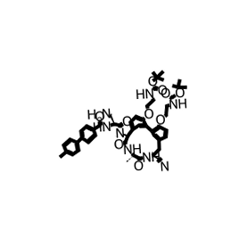 Cc1ccc(-c2ccc(C(=O)N[C@@H](CN)C(=O)N(C)[C@@H]3C(=O)N[C@@H](C)C(=O)N[C@H](C#N)Cc4ccc(OCCNC(=O)OC(C)(C)C)c(c4)-c4cc3ccc4OCCNC(=O)OC(C)(C)C)cc2)cc1